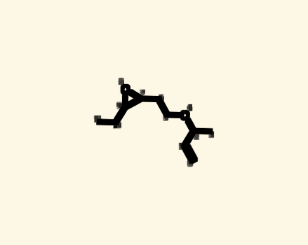 C=CC(C)OCCC1OC1CC